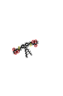 CCCCCCCCC1(CCCCCCCC)c2cc(-c3ccc(/C=C4/C(=O)CCOC4=O)s3)ccc2-c2ccc(-c3ccc(/C=C4/C(=O)CCOC4=O)s3)cc21